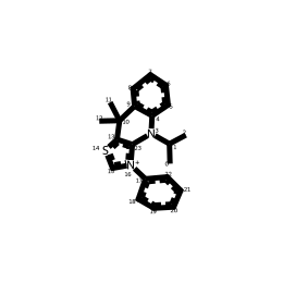 CC(C)N1c2ccccc2C(C)(C)c2sc[n+](-c3ccccc3)c21